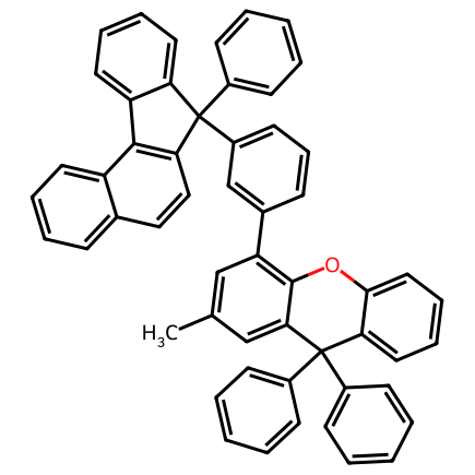 Cc1cc(-c2cccc(C3(c4ccccc4)c4ccccc4-c4c3ccc3ccccc43)c2)c2c(c1)C(c1ccccc1)(c1ccccc1)c1ccccc1O2